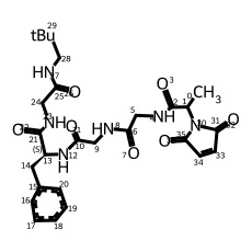 CC(C(=O)NCC(=O)NCC(=O)N[C@@H](Cc1ccccc1)C(=O)NCC(=O)NCC(C)(C)C)N1C(=O)C=CC1=O